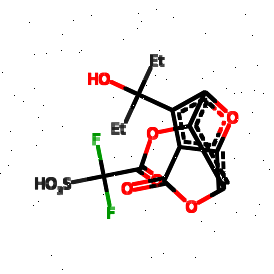 CCC(O)(CC)c1c2c3oc1c(OC(=O)C(F)(F)S(=O)(=O)O)c3OC2=O